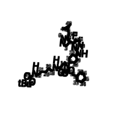 Cn1ncc(-c2nc(NC3CCC(N(CC(=O)NCCCCCNC(=O)OC(C)(C)C)C(=O)OCc4ccccc4)CC3)ncc2F)c1CC1CC1